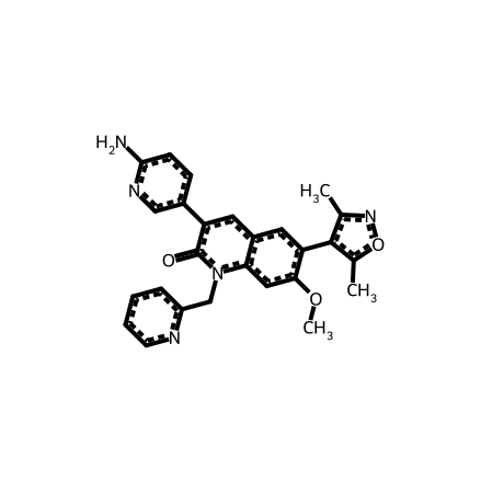 COc1cc2c(cc1-c1c(C)noc1C)cc(-c1ccc(N)nc1)c(=O)n2Cc1ccccn1